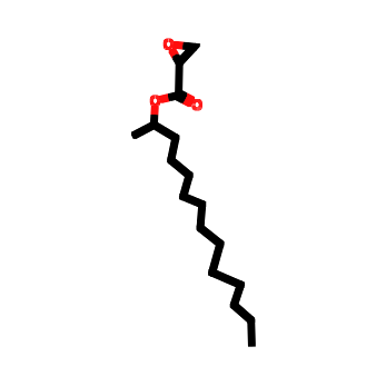 CCCCCCCCCCCCC(C)OC(=O)C1CO1